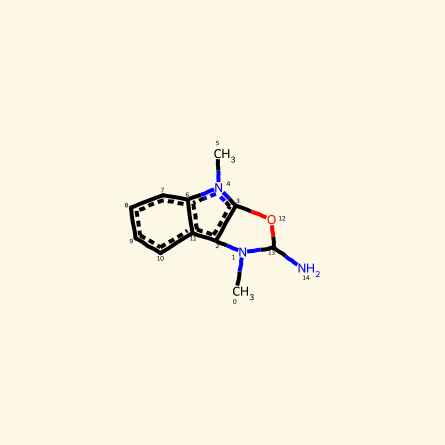 CN1c2c(n(C)c3ccccc23)OC1N